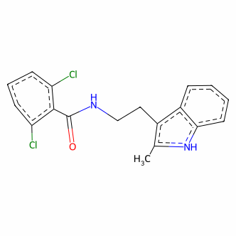 Cc1[nH]c2ccccc2c1CCNC(=O)c1c(Cl)cccc1Cl